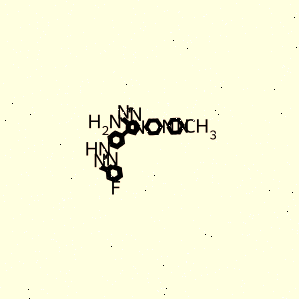 CN1CCN([C@H]2CC[C@H](n3cc(-c4ccc(Nc5ncc6cc(F)ccc6n5)cc4)c4c(N)ncnc43)CC2)CC1